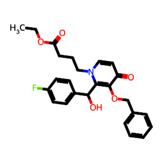 CCOC(=O)CCCn1ccc(=O)c(OCc2ccccc2)c1C(O)c1ccc(F)cc1